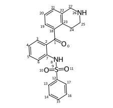 O=C(c1ccccc1NS(=O)(=O)c1ccccc1)c1cccc2c1CCNC2